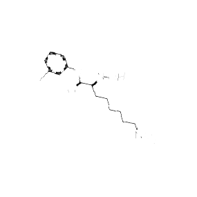 Cc1cccc(OC(=O)C(CCCCCC[N+](=O)[O-])=NO)c1